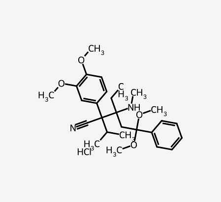 CCC(CC(OC)(OC)c1ccccc1)(NC)C(C#N)(c1ccc(OC)c(OC)c1)C(C)C.Cl